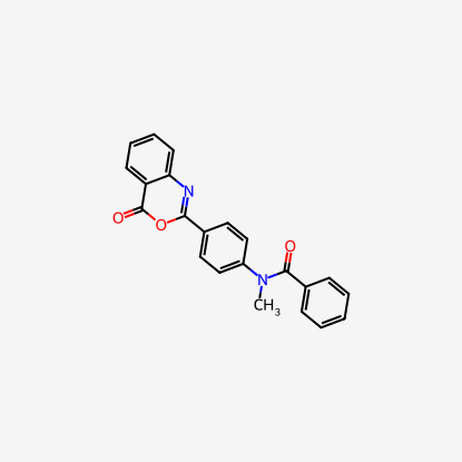 CN(C(=O)c1ccccc1)c1ccc(-c2nc3ccccc3c(=O)o2)cc1